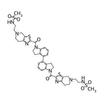 CS(=O)(=O)NCCN1CCc2nc(C(=O)N3CCc4c(-c5cccc6c5CCN6C(=O)c5nc6c(s5)CN(CCNS(C)(=O)=O)CC6)cccc43)sc2C1